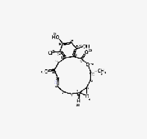 C[C@@H]1CC2O[C@@H]2CC/C=C/C(=O)Cc2c(Cl)c(O)cc(O)c2C(=O)O1